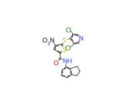 O=C(Nc1cccc2c1CCC2)c1cc([N+](=O)[O-])c(Sc2c(Cl)cncc2Cl)s1